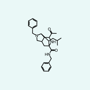 CC(=O)C1NC2(C(=O)NCc3ccccc3)CC3CN(Cc4ccccc4)C(C31)C2CC(C)C